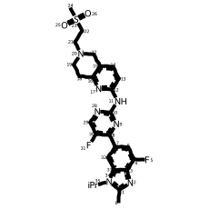 Cc1nc2c(F)cc(-c3nc(Nc4ccc5c(n4)CCN(CCS(C)(=O)=O)C5)ncc3F)cc2n1C(C)C